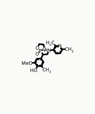 COc1cc(C(CNc2ccc(C)nc2C)P2(=O)OCCO2)cc(C)c1O